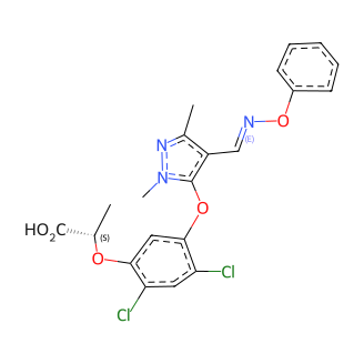 Cc1nn(C)c(Oc2cc(O[C@@H](C)C(=O)O)c(Cl)cc2Cl)c1/C=N/Oc1ccccc1